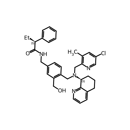 CC[C@H](C(=O)NCc1ccc(CN(Cc2ncc(Cl)cc2C)[C@H]2CCCc3cccnc32)c(CO)c1)c1ccccc1